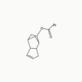 CC(C)C(=O)OC1CC2CC1C1CC=CC21